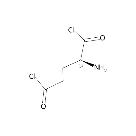 N[C@@H](CCC(=O)Cl)C(=O)Cl